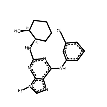 CCn1cnc2c(Nc3cccc(Cl)c3)nc(N[C@@H]3CCCC[C@@H]3O)nc21